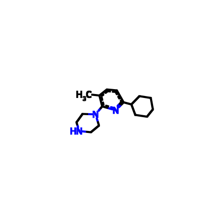 Cc1ccc(C2CCCCC2)nc1N1CCNCC1